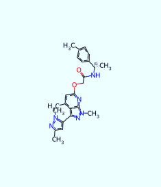 Cc1ccc([C@H](C)NC(=O)COc2cc(C)c3c(-c4cc(C)nn4C)nn(C)c3n2)cc1